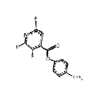 Cc1ccc(OC(=O)c2cc(F)nc(F)c2F)cc1